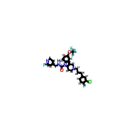 O=C(NCc1ccnc(F)c1)n1c2c(c3cc(OC(F)(F)F)ccc31)CN(C/C=C/c1ccc(F)c(Cl)c1)CC2